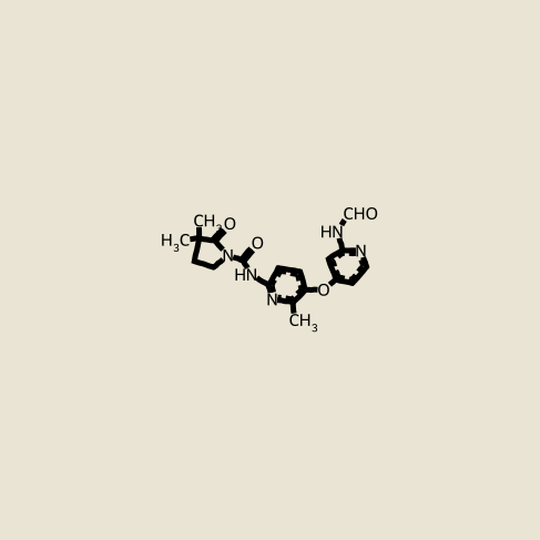 Cc1nc(NC(=O)N2CCC(C)(C)C2=O)ccc1Oc1ccnc(NC=O)c1